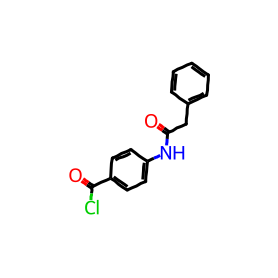 O=C(Cc1ccccc1)Nc1ccc(C(=O)Cl)cc1